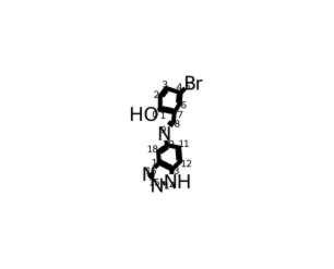 Oc1ccc(Br)cc1C=Nc1ccc2[nH]nnc2c1